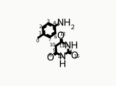 Cc1ccc(N)cc1.O=C1CC(=O)NC(=O)N1